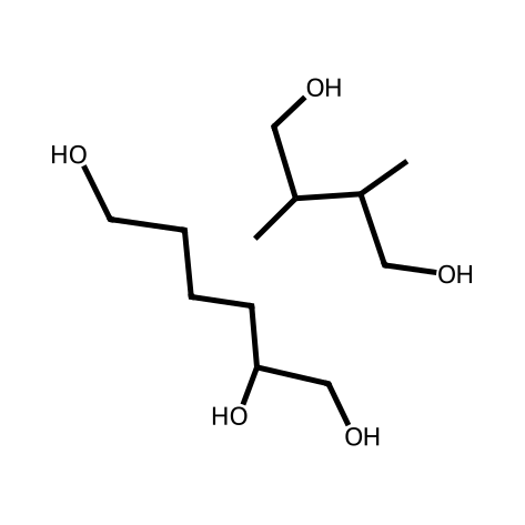 CC(CO)C(C)CO.OCCCCC(O)CO